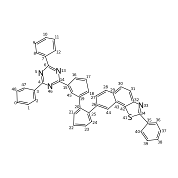 c1ccc(-c2nc(-c3ccccc3)nc(-c3cccc(-c4ccccc4-c4ccc5ccc6nc(-c7ccccc7)sc6c5c4)c3)n2)cc1